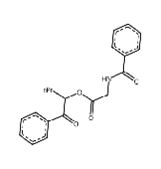 CCCC(OC(=O)CNC(=O)c1ccccc1)C(=O)c1ccccc1